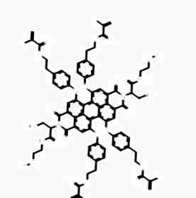 C=C(C)C(=O)OCCc1ccc(Oc2cc3c4c(cc(Oc5ccc(CCOC(=O)C(=C)C)cc5)c5c6c(Oc7ccc(CCOC(=O)C(=C)C)cc7)cc7c8c(cc(Oc9ccc(CCOC(=O)C(=C)C)cc9)c(c2c45)c86)C(=O)N(C(CC(C)C)C(=O)NCCOCC)C7=O)C(=O)N(C(CC(C)C)C(=O)NCCOCC)C3=O)cc1